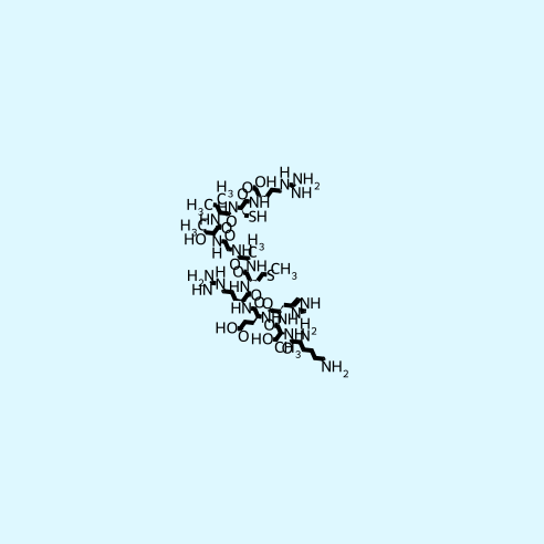 CSCC[C@H](NC(=O)[C@H](CCCNC(=N)N)NC(=O)[C@H](CCC(=O)O)NC(=O)[C@H](Cc1c[nH]cn1)NC(=O)[C@@H](NC(=O)[C@@H](N)CCCCN)[C@@H](C)O)C(=O)N[C@@H](C)C(=O)NCC(=O)N[C@H](C(=O)N[C@H](C(=O)N[C@@H](CS)C(=O)N[C@@H](CCCNC(=N)N)C(=O)O)C(C)C)[C@@H](C)O